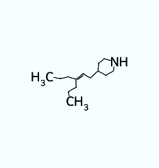 CCCC(=CCC1CCNCC1)CCC